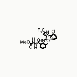 COC(=O)NNC(=O)c1cccc(C)c1NC(=O)c1cc(C(F)(F)F)nn1-c1ncccc1Cl